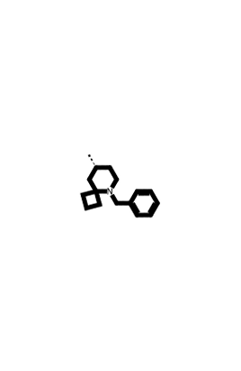 C[C@@H]1CCN(Cc2ccccc2)C2(CCC2)C1